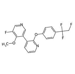 COc1c(F)cncc1-c1cccnc1Oc1ccc(C(F)(F)CF)cc1